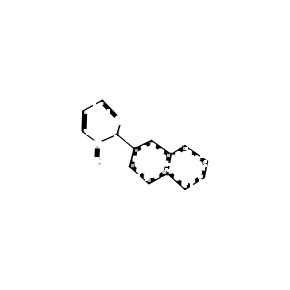 N=S1C=CC=NC1c1ccc2ccccc2c1